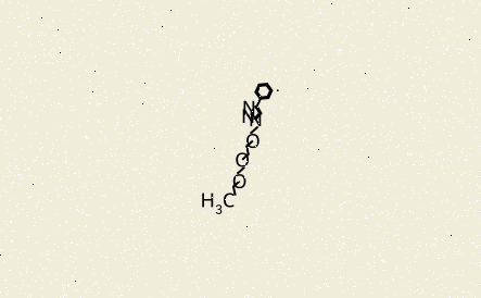 CCCOCCOCCOCCn1cc(-c2c[c]ccc2)nn1